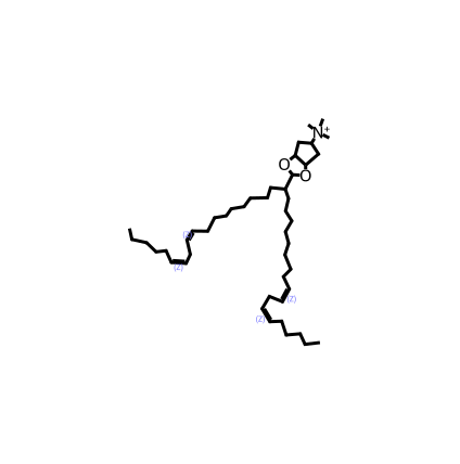 CCCCC/C=C\C/C=C\CCCCCCCCC(CCCCCCCC/C=C\C/C=C\CCCCC)C1OC2CC([N+](C)(C)C)CC2O1